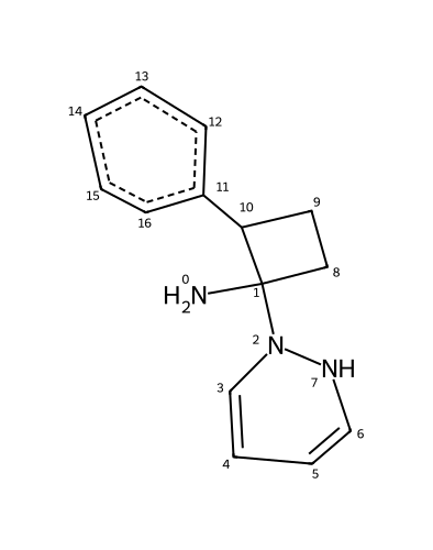 NC1(N2C=CC=CN2)CCC1c1ccccc1